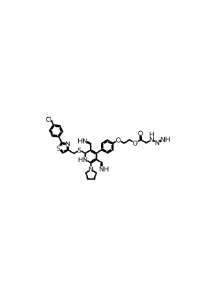 N=CC1=C(N2CCCC2)NC(SCc2csc(-c3ccc(Cl)cc3)n2)C(C=N)=C1c1ccc(OCCOC(=O)CNN=N)cc1